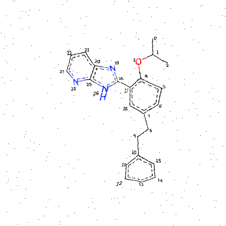 CC(C)Oc1ccc(CCc2ccccc2)cc1-c1nc2cccnc2[nH]1